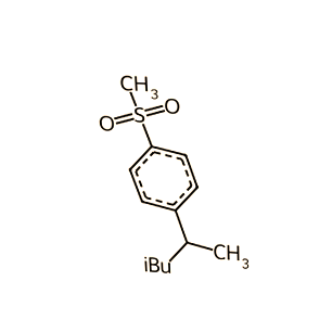 CCC(C)C(C)c1ccc(S(C)(=O)=O)cc1